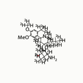 [2H]C([2H])([2H])Oc1cc2c(cc1OC)C1([2H])N(C([2H])([2H])C2([2H])[2H])C([2H])([2H])C([2H])(C([2H])([2H])C([2H])(C)C([2H])([2H])[2H])C([2H])(OC(=O)[C@@]([2H])(N)C([2H])(C([2H])([2H])[2H])C([2H])([2H])[2H])C1([2H])[2H]